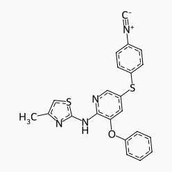 [C-]#[N+]c1ccc(Sc2cnc(Nc3nc(C)cs3)c(Oc3ccccc3)c2)cc1